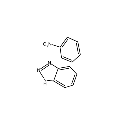 O=[N+]([O-])c1ccccc1.c1ccc2[nH]nnc2c1